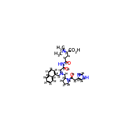 CN(C)[C@@H](CCC(=O)NC(=O)CN(Cc1cccc2ccccc12)CC1CCCN1C(=O)Cc1c[nH]cn1)C(=O)O